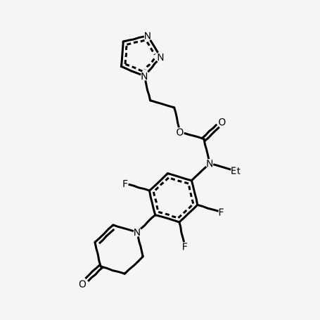 CCN(C(=O)OCCn1ccnn1)c1cc(F)c(N2C=CC(=O)CC2)c(F)c1F